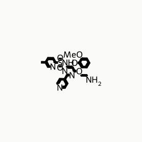 COc1ccccc1Oc1c(NS(=O)(=O)c2ccc(C)cn2)nc(-c2ccncc2)nc1OCCN